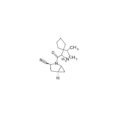 CC(C)C1(C(N)C(=O)N2C3C[C@H]3C[C@H]2C#N)CCCC1